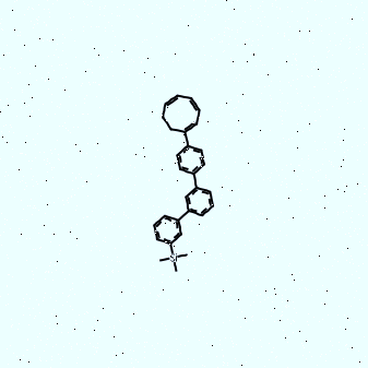 C[Si](C)(C)c1cccc(-c2cccc(-c3ccc(/C4=C/C=C\C=C/CC4)cc3)c2)c1